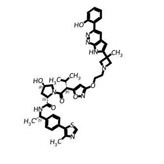 Cc1ncsc1-c1ccc([C@H](C)NC(=O)[C@@H]2C[C@@H](O)CN2C(=O)[C@@H](c2cc(OCCN3CC(C)(c4cc5cc(-c6ccccc6O)nnc5[nH]4)C3)no2)C(C)C)cc1